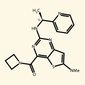 CNc1cc2nc(N[C@@H](C)c3ccccn3)nc(C(=O)N3CCC3)c2s1